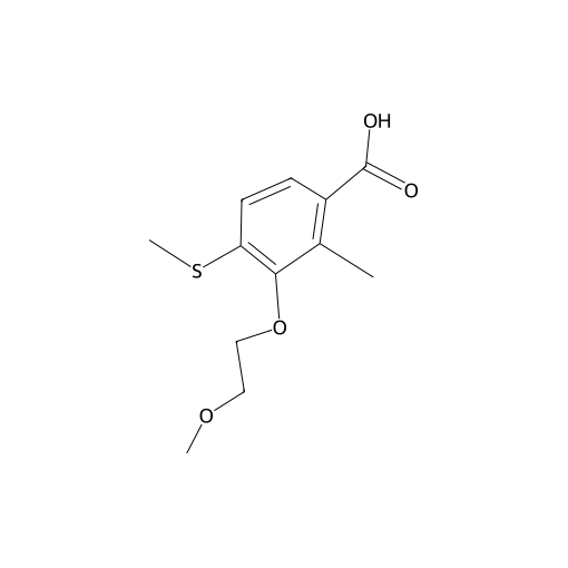 COCCOc1c(SC)ccc(C(=O)O)c1C